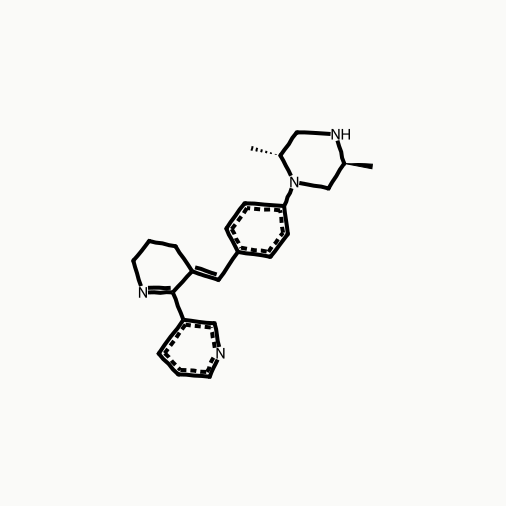 C[C@@H]1CN[C@@H](C)CN1c1ccc(C=C2CCCN=C2c2cccnc2)cc1